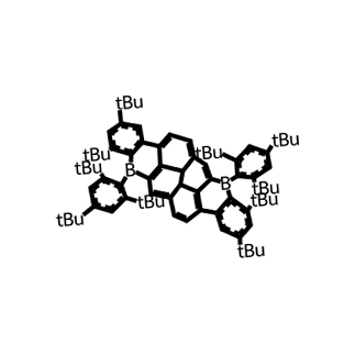 CC(C)(C)c1cc2c(c(C(C)(C)C)c1)B(c1c(C(C)(C)C)cc(C(C)(C)C)cc1C(C)(C)C)C1=C3C2=CC=C2C=C4B(c5c(C(C)(C)C)cc(C(C)(C)C)cc5C(C)(C)C)c5c(cc(C(C)(C)C)cc5C(C)(C)C)C5=C4C(C(=C1)C=C5)C23